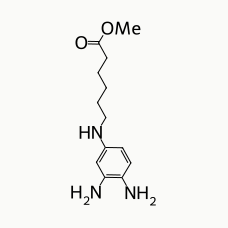 COC(=O)CCCCCNc1ccc(N)c(N)c1